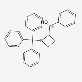 O[C@H](c1ccccc1)C1CCN1C(c1ccccc1)(c1ccccc1)c1ccccc1